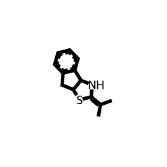 CC(C)=C1NC2c3ccccc3CC2S1